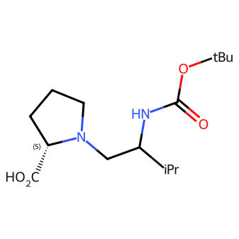 CC(C)C(CN1CCC[C@H]1C(=O)O)NC(=O)OC(C)(C)C